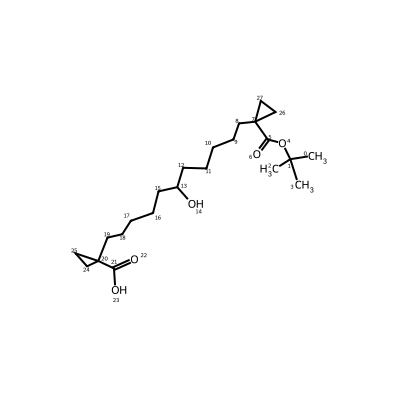 CC(C)(C)OC(=O)C1(CCCCCC(O)CCCCCC2(C(=O)O)CC2)CC1